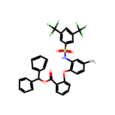 Cc1ccc(Oc2ccccc2C(=O)OC(c2ccccc2)c2ccccc2)c(NS(=O)(=O)c2cc(C(F)(F)F)cc(C(F)(F)F)c2)c1